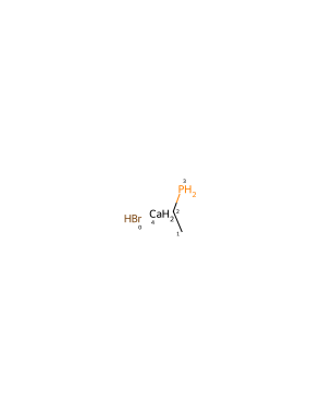 Br.CCP.[CaH2]